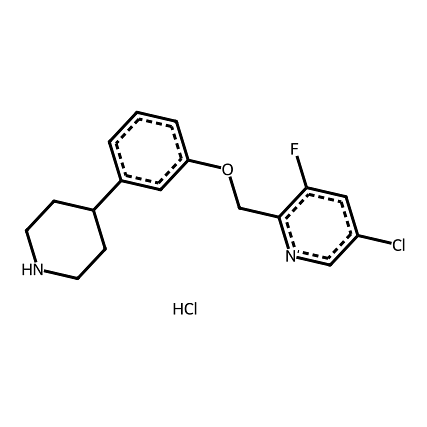 Cl.Fc1cc(Cl)cnc1COc1cccc(C2CCNCC2)c1